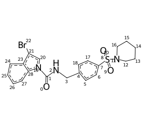 O=C(NCc1ccc(S(=O)(=O)N2CCCCC2)cc1)n1cc(Br)c2ccccc21